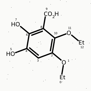 CCOc1cc(O)c(O)c(C(=O)O)c1OCC